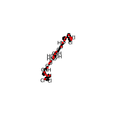 CN1Cc2c(Cl)cc(Cl)cc2C(c2cccc(SNCCOCCOCCNC(=O)C(O)C(O)C(=O)NCCOCCOCCN[S+]([O-])c3cccc(C4CN(C)Cc5c(Cl)cc(Cl)cc54)c3)c2)C1